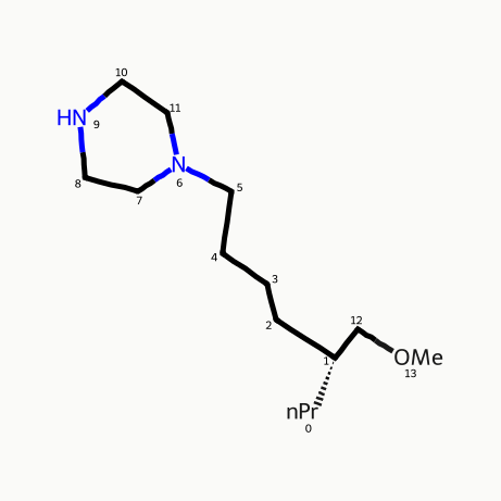 CCC[C@H](CCCCN1CCNCC1)COC